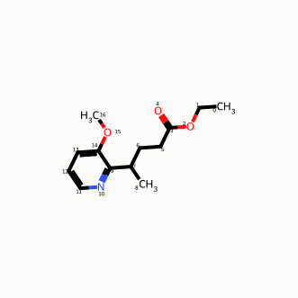 CCOC(=O)CCC(C)c1ncccc1OC